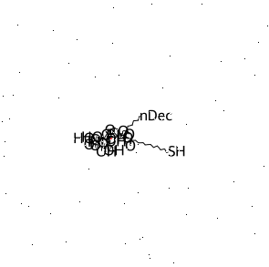 CCCCCCCCCCCCCCCC(=O)O[C@H](COC(=O)CCCCCCCCCCS)COP(=O)(O)OC1C(O)[C@@H](O)C(O)[C@@H](OP(=O)(O)O)[C@H]1O